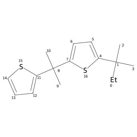 CCC(C)(C)c1ccc(C(C)(C)c2cccs2)s1